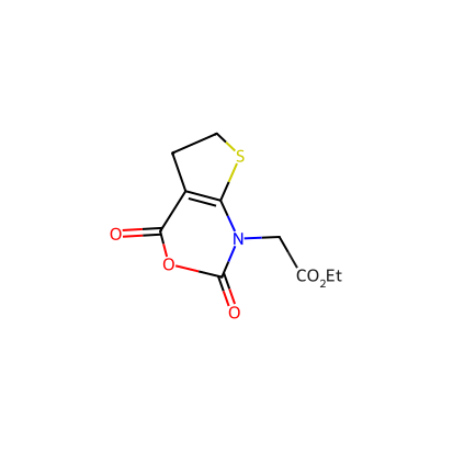 CCOC(=O)Cn1c2c(c(=O)oc1=O)CCS2